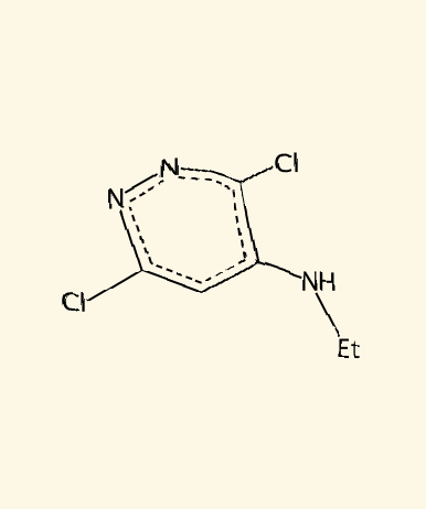 CCNc1cc(Cl)nnc1Cl